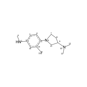 CNc1ccc(N2CCC(N(C)C)C2)c(F)c1